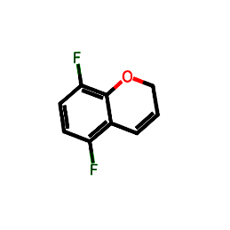 Fc1ccc(F)c2c1C=CCO2